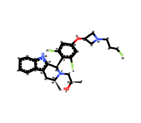 C[C@H](O)CN1[C@H](c2c(F)cc(OC3CN(CCCF)C3)cc2F)c2[nH]c3ccccc3c2C[C@H]1C